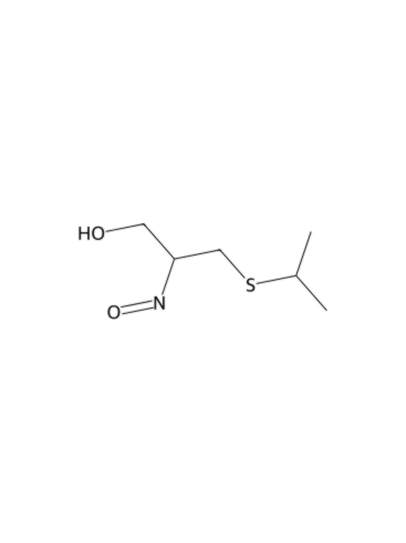 CC(C)SCC(CO)N=O